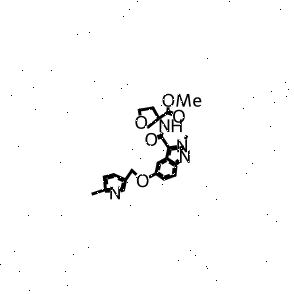 COC(=O)C1(NC(=O)c2c3cc(OCc4ccc(C)nc4)ccc3nn2C)CCOC1